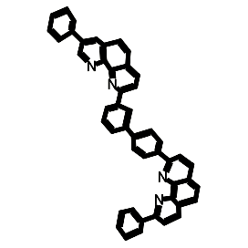 c1ccc(-c2cnc3c(ccc4ccc(-c5cccc(-c6ccc(-c7ccc8ccc9ccc(-c%10ccccc%10)nc9c8n7)cc6)c5)nc43)c2)cc1